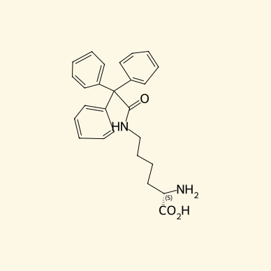 N[C@@H](CCCCNC(=O)C(c1ccccc1)(c1ccccc1)c1ccccc1)C(=O)O